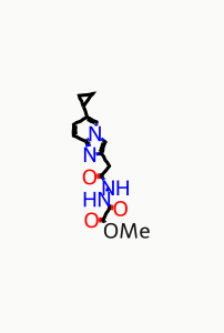 COC(=O)C(=O)NNC(=O)Cc1cn2cc(C3CC3)ccc2n1